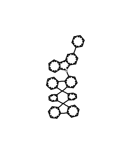 c1ccc(-c2ccc3c(c2)c2ccccc2n3-c2cccc3c2-c2ccccc2C32c3ccccc3C3(c4ccccc4-c4ccccc43)c3ccccc32)cc1